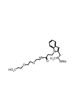 CNN(C)Cc1cc2ccccc2n1CCC(=O)NCCOCCOCCC(=O)O